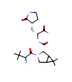 CC(C)(C)C(N)C(=O)N1C[C@H]2[C@@H]([C@H]1C(=O)N[C@@H](C[C@@H]1CCNC1=O)C(N)=O)C2(C)C